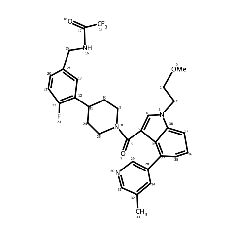 COCCn1cc(C(=O)N2CCC(c3cc(CNC(=O)C(F)(F)F)ccc3F)CC2)c2c(-c3cncc(C)c3)cccc21